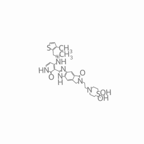 Cc1ccsc1C[C@H](C)Nc1cc[nH]c(=O)c1-c1nc2cc3c(cc2[nH]1)CN(CCN1CCS(O)(O)CC1)C3=O